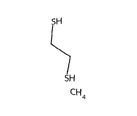 C.SCCS